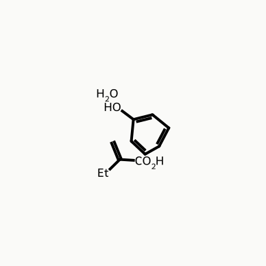 C=C(CC)C(=O)O.O.Oc1ccccc1